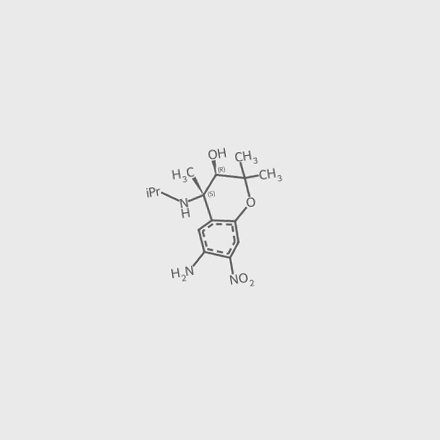 CC(C)N[C@@]1(C)c2cc(N)c([N+](=O)[O-])cc2OC(C)(C)[C@@H]1O